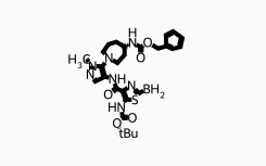 Bc1nc(C(=O)Nc2cnn(C)c2N2CCC[C@@H](NC(=O)OCc3ccccc3)CC2)c(NC(=O)OC(C)(C)C)s1